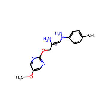 COc1cnc(OC/C(N)=C/N(N)c2ccc(C)cc2)nc1